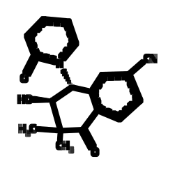 CC1(C)C(=O)c2ccc(C#N)cc2[C@@H](n2ccccc2=O)[C@@H]1O